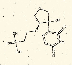 O=c1ccn(C2(O)COC[C@@H]2OCCP(=O)(O)O)c(=O)[nH]1